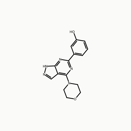 Oc1cccc(-c2nc(N3CCOCC3)c3cn[nH]c3n2)c1